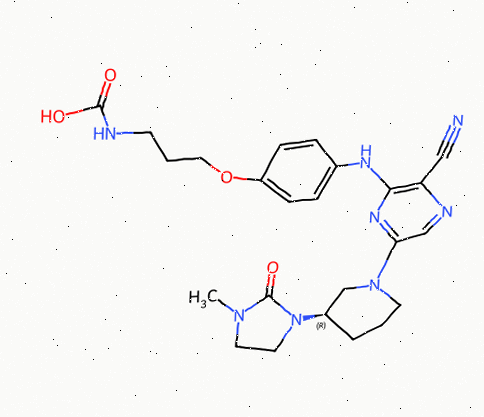 CN1CCN([C@@H]2CCCN(c3cnc(C#N)c(Nc4ccc(OCCCNC(=O)O)cc4)n3)C2)C1=O